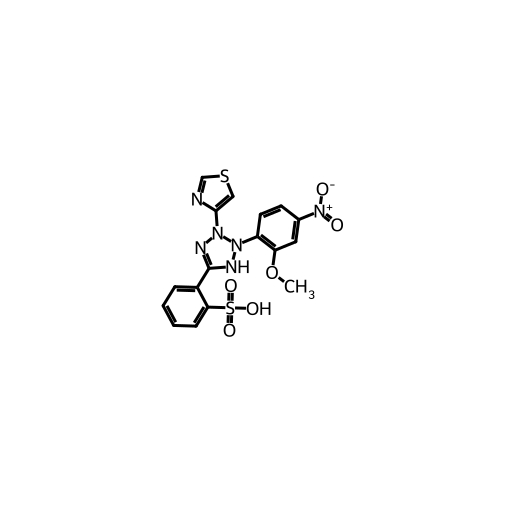 COc1cc([N+](=O)[O-])ccc1N1NC(c2ccccc2S(=O)(=O)O)=NN1c1cscn1